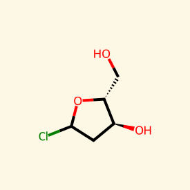 OC[C@H]1OC(Cl)C[C@@H]1O